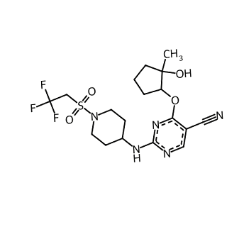 CC1(O)CCCC1Oc1nc(NC2CCN(S(=O)(=O)CC(F)(F)F)CC2)ncc1C#N